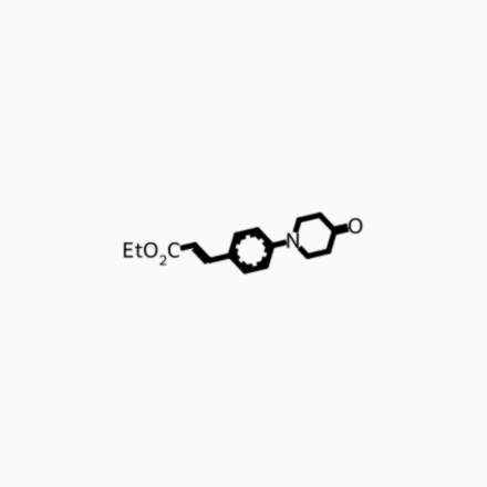 CCOC(=O)C=Cc1ccc(N2CCC(=O)CC2)cc1